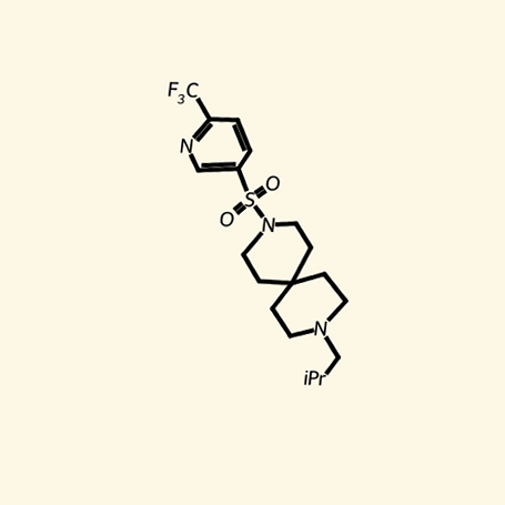 CC(C)CN1CCC2(CC1)CCN(S(=O)(=O)c1ccc(C(F)(F)F)nc1)CC2